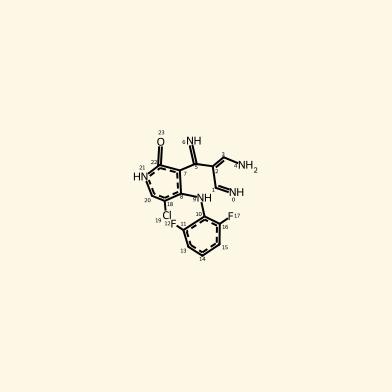 N=C/C(=C\N)C(=N)c1c(Nc2c(F)cccc2F)c(Cl)c[nH]c1=O